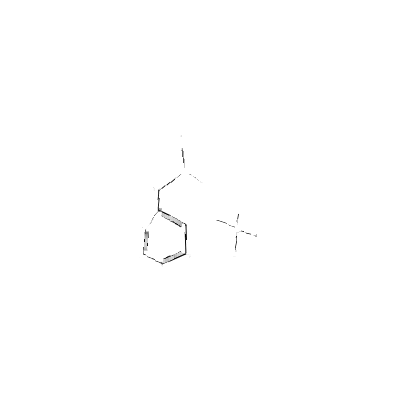 C[S+](C)Cc1ccccc1.F[B-](F)(F)F